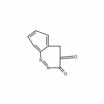 O=C1Cc2ccccc2N=NC1=O